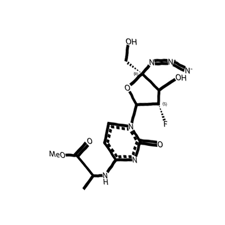 COC(=O)C(C)Nc1ccn(C2O[C@@](CO)(N=[N+]=[N-])C(O)[C@@H]2F)c(=O)n1